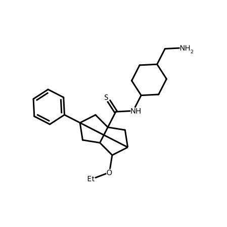 CCOC1C2CC3(c4ccccc4)CC2(C(=S)NC2CCC(CN)CC2)CC13